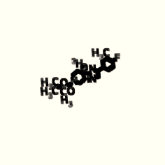 [3H]OC1(c2nc(-c3ccc(F)c(C)c3)c[nH]2)CCN(C(=O)OC(C)(C)C)CC1